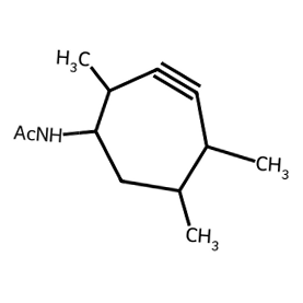 CC(=O)NC1CC(C)C(C)C#CC1C